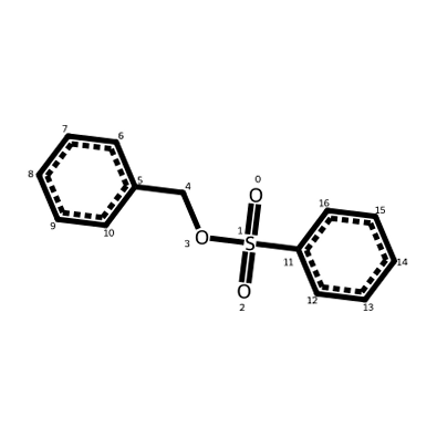 O=S(=O)(OCc1ccccc1)c1ccccc1